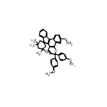 COc1ccc(C2(c3ccc(OC)cc3)C=Cc3c4c(c5ccc(OC)cc5c3O2)-c2ccccc2C42CC(C)(C)CC(C)(C)C2)cc1